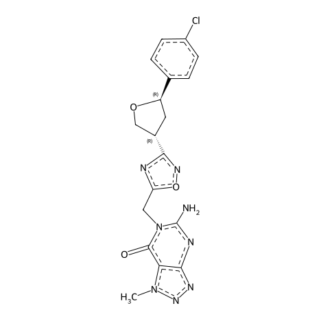 Cn1nnc2nc(N)n(Cc3nc([C@@H]4CO[C@@H](c5ccc(Cl)cc5)C4)no3)c(=O)c21